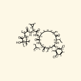 CC[C@H]1NC(=O)[C@H](Cc2cc(Cl)ccc2Cl)N(C)C(=O)[C@H](CC(C)C)NC(=O)[C@@H](NC(=O)[C@@H](NC(=O)[C@H](C)NC(=O)[C@@](C)(O)C(F)(F)F)C2CC2)CCCCN(C)C1=O